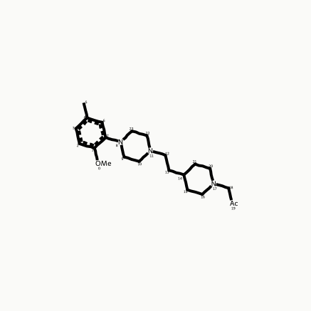 COc1ccc(C)cc1N1CCN(CCC2CCN(CC(C)=O)CC2)CC1